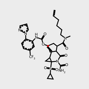 C=CCCCCN(C)C(=O)C1CC(OC(=O)Nc2cc(C(F)(F)F)ccc2-n2cccn2)CC1C(=O)N(C(N)=O)C1(S(=O)(=O)C2CC2)CC1C=C